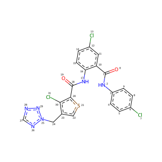 O=C(Nc1ccc(Cl)cc1)c1cc(Cl)ccc1NC(=O)c1scc(Cn2ncnn2)c1Cl